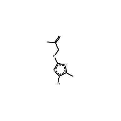 C=C(C)COc1nc(CC)c(C)o1